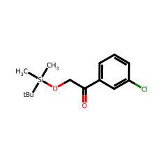 CC(C)(C)[Si](C)(C)OCC(=O)c1cccc(Cl)c1